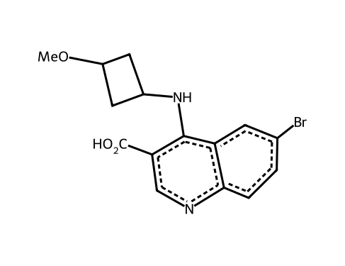 COC1CC(Nc2c(C(=O)O)cnc3ccc(Br)cc23)C1